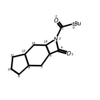 CC(C)(C)C(=O)N1C(=O)C2CC3CCCC3CC21